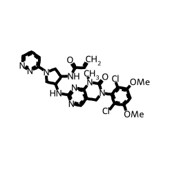 C=CC(=O)NC1CN(c2cccnn2)CC1Nc1ncc2c(n1)N(C)C(=O)N(c1c(Cl)c(OC)cc(OC)c1Cl)C2